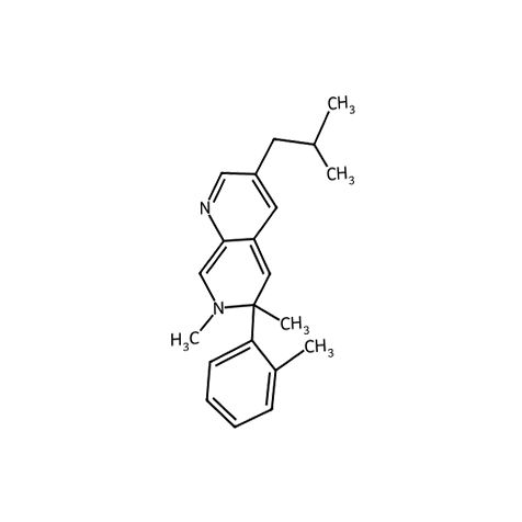 Cc1ccccc1C1(C)C=c2cc(CC(C)C)cnc2=CN1C